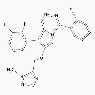 Cn1ncnc1COc1nn2c(-c3ccccc3F)nncc2c1-c1cccc(F)c1F